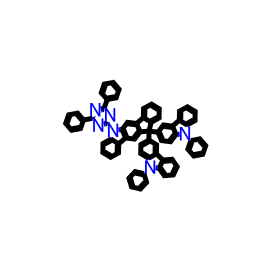 c1ccc(-c2nc(-c3ccccc3)nc(-n3c4ccccc4c4cc5c(cc43)-c3ccccc3C5(c3ccc4c(c3)c3ccccc3n4-c3ccccc3)c3ccc4c(c3)c3ccccc3n4-c3ccccc3)n2)cc1